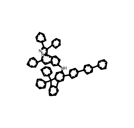 c1ccc(-c2ccc(-c3ccc(-c4cc5c(cc4Nc4ccc6c(c4)cc(-c4ccccc4)n4nc(-c7ccccc7)c(-c7ccccc7)c64)C(c4ccccc4)(c4ccccc4)c4ccccc4-5)cc3)cc2)cc1